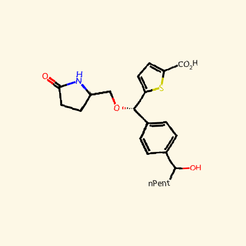 CCCCCC(O)c1ccc([C@H](OCC2CCC(=O)N2)c2ccc(C(=O)O)s2)cc1